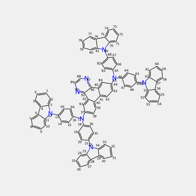 c1ccc2c(c1)c1ccccc1n2-c1ccc(N(c2ccc(-n3c4ccccc4c4ccccc43)cc2)c2ccc3c4ccc(N(c5ccc(-n6c7ccccc7c7ccccc76)cc5)c5ccc(-n6c7ccccc7c7ccccc76)cc5)cc4c4nccnc4c3c2)cc1